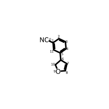 N#Cc1cccc(C2C=COC2)c1